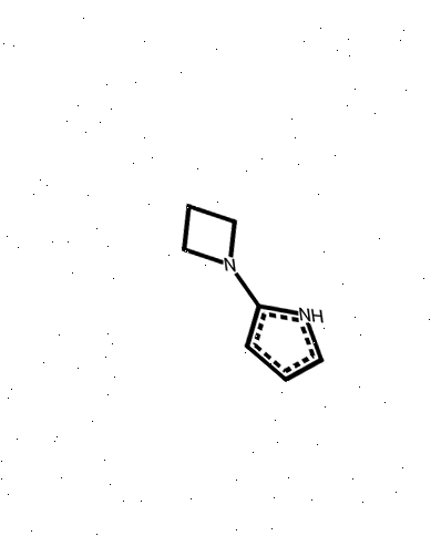 c1c[nH]c(N2CCC2)c1